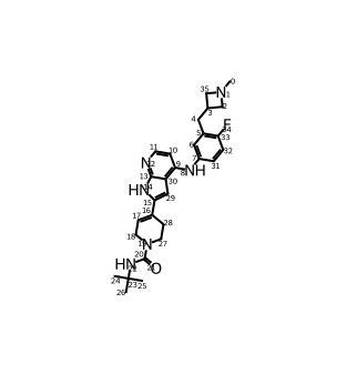 CN1CC(Cc2cc(Nc3ccnc4[nH]c(C5=CCN(C(=O)NC(C)(C)C)CC5)cc34)ccc2F)C1